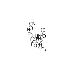 N#Cc1ccc(/C(F)=C/c2ccc(F)c([C@]34CO[C@H](C(F)(F)F)[C@H]3CSC(NC(=O)c3ccccc3)=N4)c2)nc1